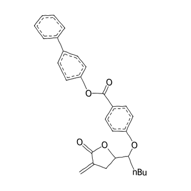 C=C1CC(C(CCCC)Oc2ccc(C(=O)Oc3ccc(-c4ccccc4)cc3)cc2)OC1=O